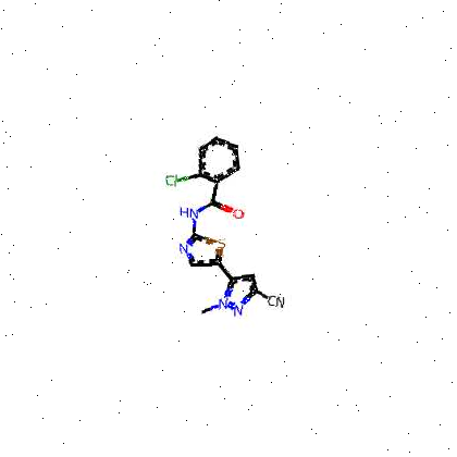 Cn1nc(C#N)cc1-c1cnc(NC(=O)c2ccccc2Cl)s1